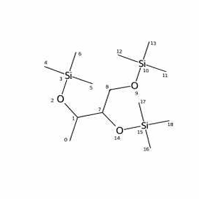 CC(O[Si](C)(C)C)C(CO[Si](C)(C)C)O[Si](C)(C)C